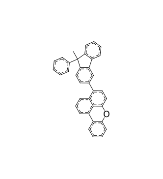 CC1(c2ccccc2)c2ccccc2-c2cc(-c3ccc4c5c(cccc35)-c3ccccc3O4)ccc21